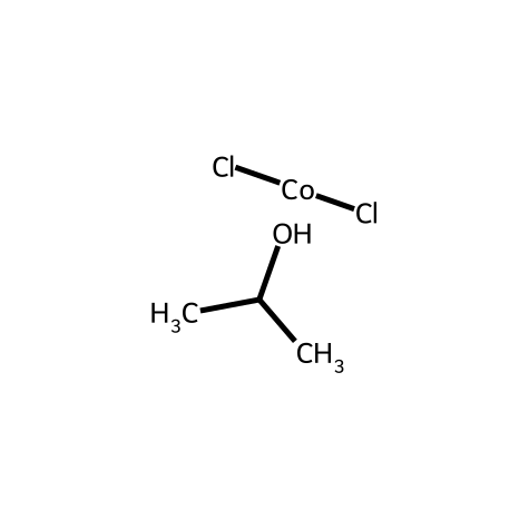 CC(C)O.[Cl][Co][Cl]